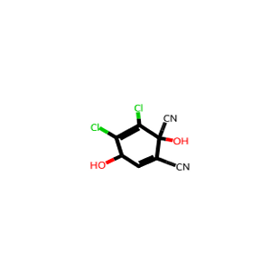 N#CC1=CC(O)C(Cl)=C(Cl)C1(O)C#N